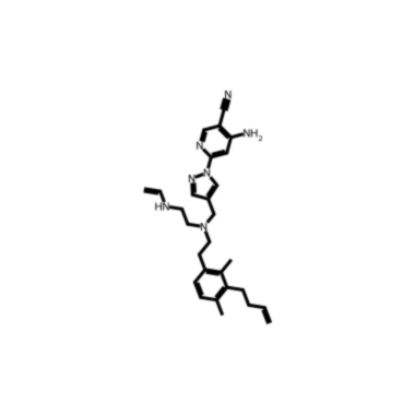 C=CCCc1c(C)ccc(CCN(CCNC=C)Cc2cnn(-c3cc(N)c(C#N)cn3)c2)c1C